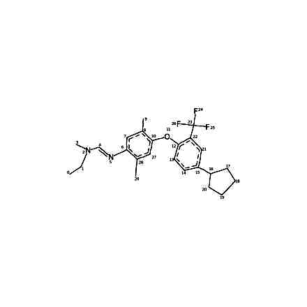 CCN(C)C=Nc1cc(C)c(Oc2ccc(C3CCCC3)cc2C(F)(F)F)cc1C